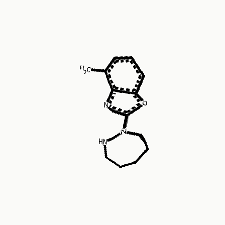 Cc1cccc2oc(N3CCCCCN3)nc12